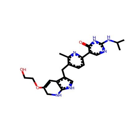 Cc1nc(-c2cnc(NC(C)C)[nH]c2=O)ccc1Cc1c[nH]c2c1C=C(OCCO)CN2